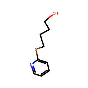 OCCCCSc1ccccn1